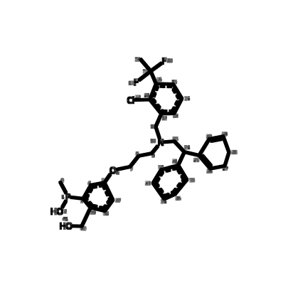 CP(O)c1cc(OCCCN(Cc2cccc(C(C)(F)F)c2Cl)CC(C2=CCCC=C2)c2ccccc2)ccc1CO